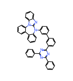 c1ccc(-c2nc(-c3ccccc3)nc(-c3cccc(-c4cccc(N5c6ccccc6-c6ccccc6-n6c5nc5ccccc56)c4)c3)n2)cc1